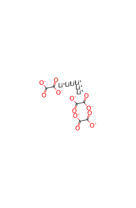 O=C([O-])C(=O)[O-].O=C([O-])C(=O)[O-].O=C([O-])C(=O)[O-].[Li+].[Li+].[Li+].[Li+].[Li+].[Li+]